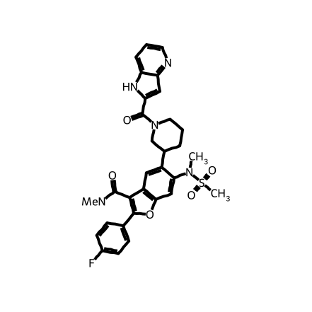 CNC(=O)c1c(-c2ccc(F)cc2)oc2cc(N(C)S(C)(=O)=O)c(C3CCCN(C(=O)c4cc5ncccc5[nH]4)C3)cc12